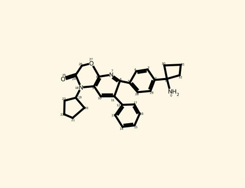 NC1(c2ccc(-c3nc4c(cc3-c3ccccc3)N(C3CCCC3)C(=O)CO4)cc2)CCC1